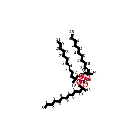 CCCCCCCCCCCC(C)(C)OP(=O)(OC(C)(C)CCCCCCCCCCC)OC(C)(C)CCCCCCCCCCC